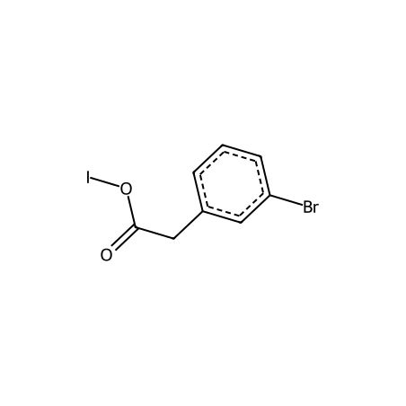 O=C(Cc1cccc(Br)c1)OI